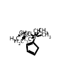 C=C.C=C.[CH3][Ir]([CH3])([CH3])([CH3])([CH3])[C]1=CC=CC1